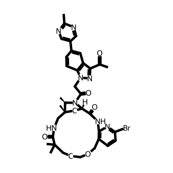 CC(=O)c1nn(CC(=O)N2[C@H]3C[C@](C)(CNC(=O)C(C)(C)CCCOCc4ccc(Br)nc4NC3=O)[C@H]2C)c2ccc(-c3cnc(C)nc3)cc12